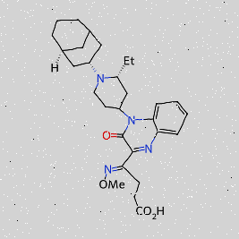 CC[C@@H]1CC(n2c(=O)c(/C(CCC(=O)O)=N/OC)nc3ccccc32)CCN1[C@H]1CC2CCC[C@@H](C2)C1